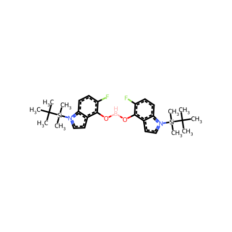 CC(C)(C)[Si](C)(C)n1ccc2c(OBOc3c(F)ccc4c3ccn4[Si](C)(C)C(C)(C)C)c(F)ccc21